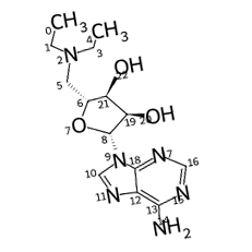 CCN(CC)C[C@H]1O[C@@H](n2cnc3c(N)ncnc32)[C@H](O)[C@@H]1O